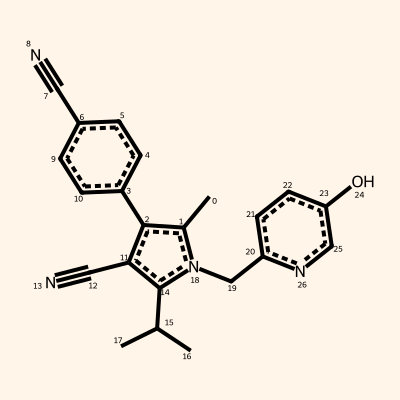 Cc1c(-c2ccc(C#N)cc2)c(C#N)c(C(C)C)n1Cc1ccc(O)cn1